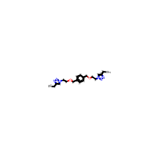 CC(C)Cc1cn(CCOCc2ccc(COCCn3cc(CC(C)(C)C)nn3)cc2)nn1